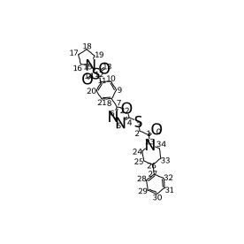 O=C(CSc1nnc(-c2ccc(S(=O)(=O)N3CCCC3)cc2)o1)N1CCC(c2ccccc2)CC1